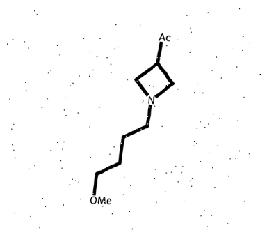 COCCCCN1CC(C(C)=O)C1